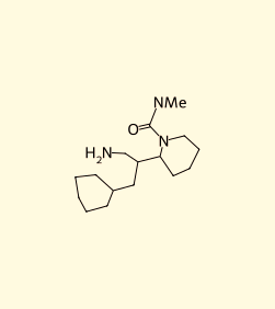 CNC(=O)N1CCCCC1C(CN)CC1CCCCC1